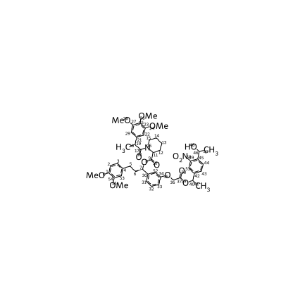 COc1ccc(CC[C@@H](OC(=O)C2CCCCN2C(=O)[C@@H](C)c2cc(OC)c(OC)c(OC)c2)c2cccc(OCC(=O)OC(C)c3ccc(C(C)O)c([N+](=O)[O-])c3)c2)cc1OC